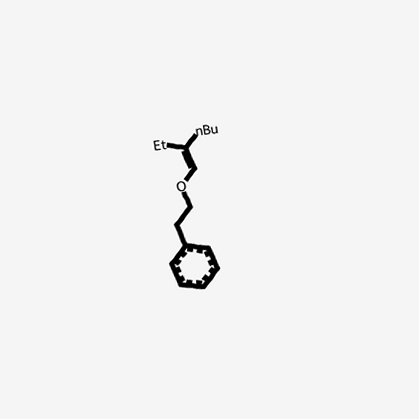 CCCC/C(=C/OCCc1ccccc1)CC